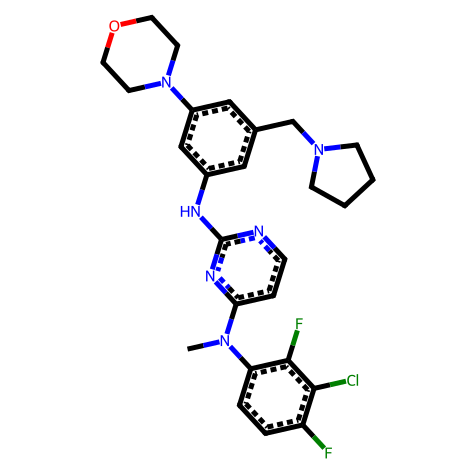 CN(c1ccnc(Nc2cc(CN3CCCC3)cc(N3CCOCC3)c2)n1)c1ccc(F)c(Cl)c1F